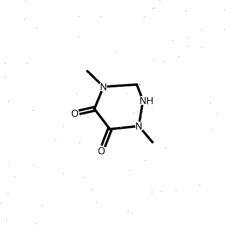 CN1[CH]NN(C)C(=O)C1=O